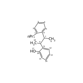 CCCc1ccccc1C(C)C(C)c1ccccc1O